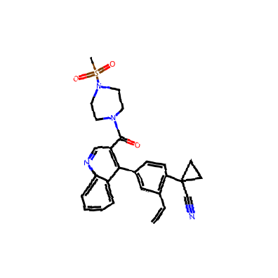 C=Cc1cc(-c2c(C(=O)N3CCN(S(C)(=O)=O)CC3)cnc3ccccc23)ccc1C1(C#N)CC1